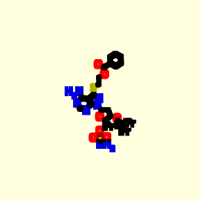 CC(C)[Si](O[C@H]1C[C@H](n2nc(SCCOC(=O)c3ccccc3)c3c(N)ncnc32)O[C@@H]1COS(N)(=O)=O)(C(C)C)C(C)C